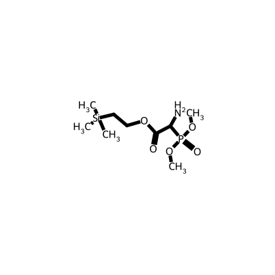 COP(=O)(OC)C(N)C(=O)OCC[Si](C)(C)C